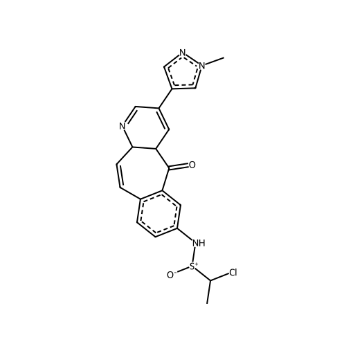 CC(Cl)[S+]([O-])Nc1ccc2c(c1)C(=O)C1C=C(c3cnn(C)c3)C=NC1C=C2